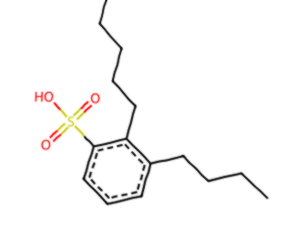 CCCCCc1c(CCCC)cccc1S(=O)(=O)O